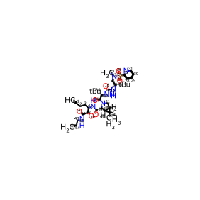 C#CCCC(NC(=O)[C@@H]1[C@@H]2[C@H](CN1C(=O)[C@@H](NC(=O)N[C@H](CN(C)S(=O)(=O)c1ccccn1)C(C)(C)C)C(C)(C)C)C2(C)C)C(=O)C(=O)NCC=C